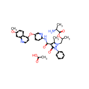 CC(=O)O.COc1ccc2c(Oc3ccc(NC(=O)c4c(C)n(CC(C)OC(=O)C(C)N)n(-c5ccccc5)c4=O)nc3)ccnc2c1